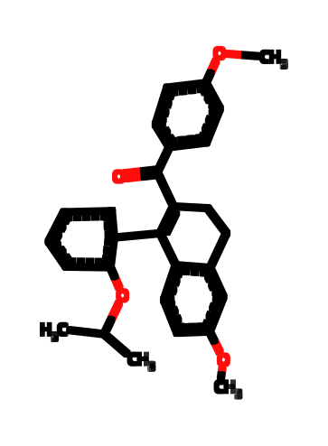 COc1ccc(C(=O)C2=C(c3ccccc3OC(C)C)c3ccc(OC)cc3CC2)cc1